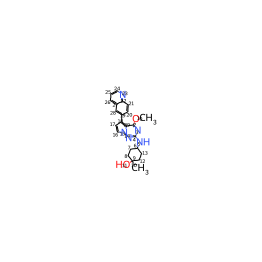 COc1nc(NC2CCC(C)(O)CC2)nn2ccc(-c3ccc4ncccc4c3)c12